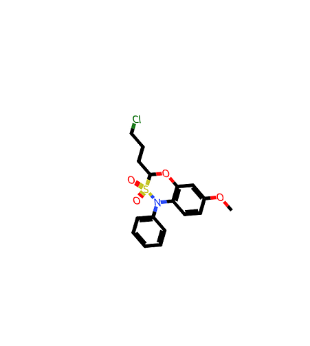 COc1ccc2c(c1)OC(CCCCl)S(=O)(=O)N2c1ccccc1